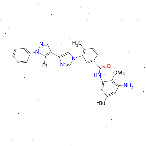 CCc1c(-c2cn(-c3cc(C(=O)Nc4cc(C(C)(C)C)cc(N)c4OC)ccc3C)cn2)cnn1-c1ccccc1